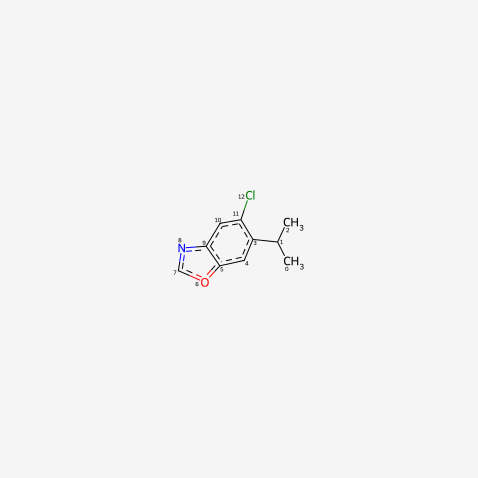 CC(C)c1cc2ocnc2cc1Cl